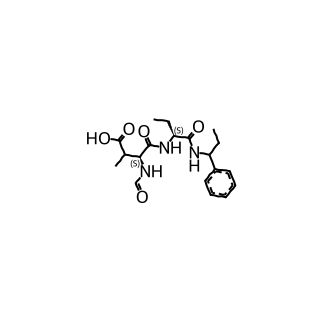 CCC(NC(=O)[C@H](CC)NC(=O)[C@@H](NC=O)C(C)C(=O)O)c1ccccc1